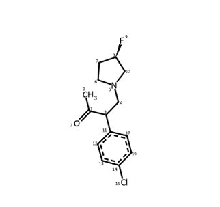 CC(=O)C(CN1CC[C@@H](F)C1)c1ccc(Cl)cc1